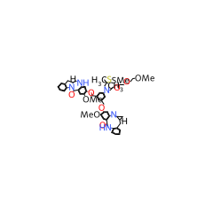 COCCOCCOCCN(CC(C)(C)SSC)c1cc(COc2cc3c(cc2OC)C(=O)Nc2ccccc2C[C@@H]2C/C2=N/3)cc(COc2cc3c(cc2OC)C(=O)N2c4ccccc4C[C@H]2CN3)c1